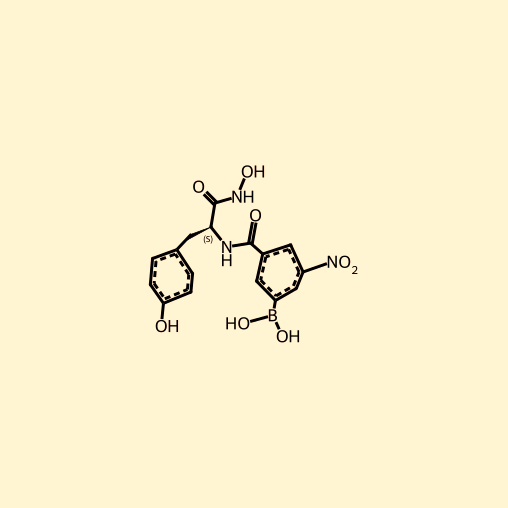 O=C(N[C@@H](Cc1ccc(O)cc1)C(=O)NO)c1cc(B(O)O)cc([N+](=O)[O-])c1